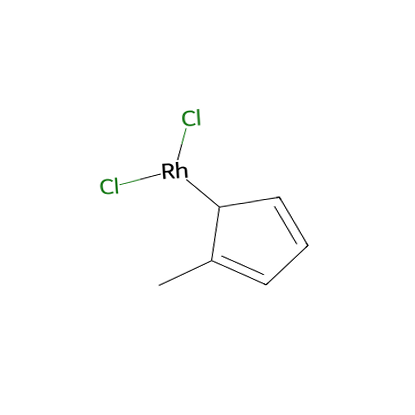 CC1=CC=C[CH]1[Rh]([Cl])[Cl]